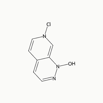 ON1N=CC=C2C=CN(Cl)C=C21